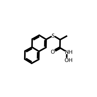 CC(Sc1ccc2ccccc2c1)C(=O)NO